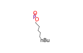 CCCCCCCCCOP=O